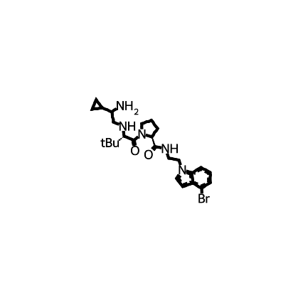 CC(C)(C)[C@H](NCC(N)C1CC1)C(=O)N1CCC[C@H]1C(=O)NCCn1ccc2c(Br)cccc21